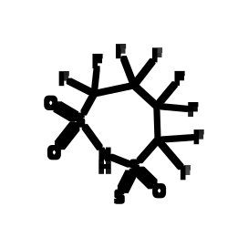 O=S1(=O)NS(=O)(=S)C(F)(F)C(F)(F)C(F)(F)C1(F)F